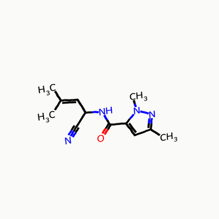 CC(C)=CC(C#N)NC(=O)c1cc(C)nn1C